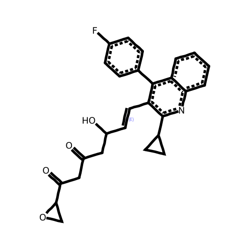 O=C(CC(=O)C1CO1)CC(O)/C=C/c1c(C2CC2)nc2ccccc2c1-c1ccc(F)cc1